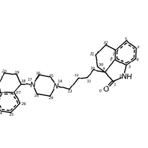 O=C1Nc2cccc3c2C1(CCCCN1CCN(C2CCCc4ccccc42)CC1)CCC3